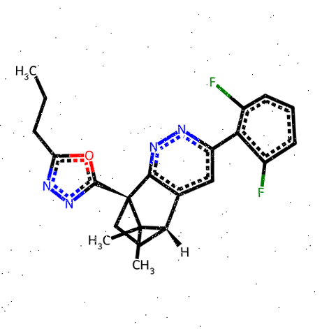 CCCc1nnc([C@@]23CC[C@@H](c4cc(-c5c(F)cccc5F)nnc42)C3(C)C)o1